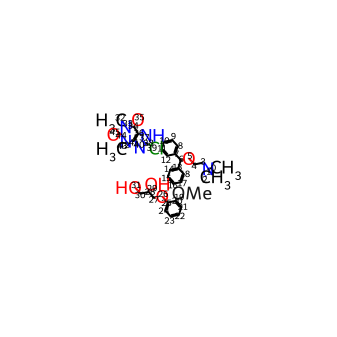 CN(C)CCOC(c1ccccc1)c1ccccc1.COc1ccccc1OCC(O)CO.Cn1c(=O)c2[nH]c(Cl)nc2n(C)c1=O